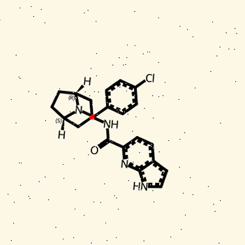 O=C(NC1C[C@H]2CC[C@@H](C1)N2Cc1ccc(Cl)cc1)c1ccc2cc[nH]c2n1